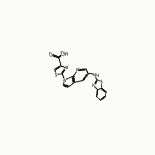 O=C(O)c1csc(-n2ccc3cc(Nc4nc5ccccc5s4)cnc32)n1